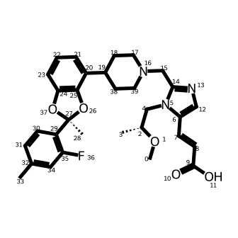 CO[C@H](C)Cn1c(/C=C/C(=O)O)cnc1CN1CCC(c2cccc3c2O[C@@](C)(c2ccc(C)cc2F)O3)CC1